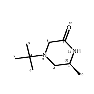 C[C@H]1CN(C(C)(C)C)CC(=O)N1